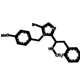 COc1ccc(Cn2c(Br)cnc2C(Cc2ccccc2)NC(=O)O)cc1